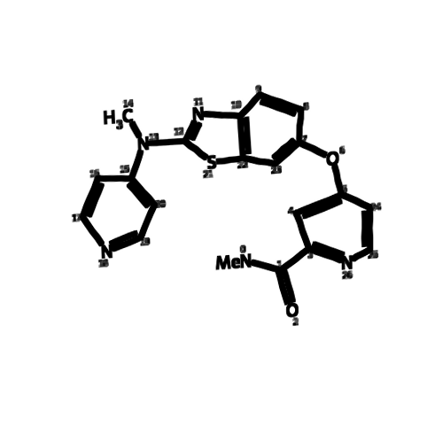 CNC(=O)c1cc(Oc2ccc3nc(N(C)c4ccncc4)sc3c2)ccn1